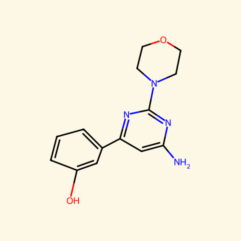 Nc1cc(-c2cccc(O)c2)nc(N2CCOCC2)n1